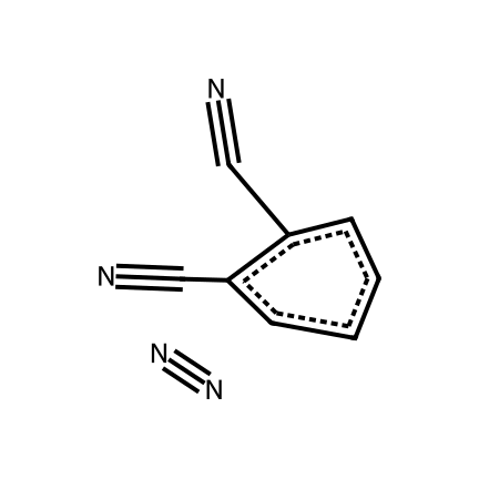 N#Cc1ccccc1C#N.N#N